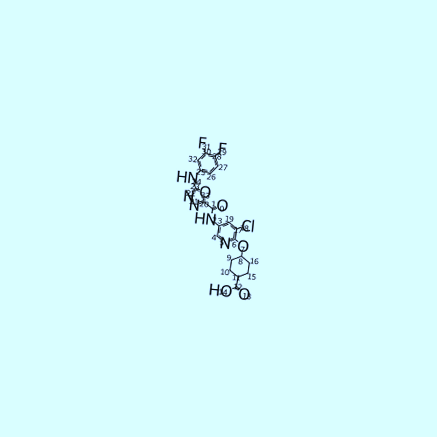 O=C(Nc1cnc(OC2CCC(C(=O)O)CC2)c(Cl)c1)c1nnc(Nc2ccc(F)c(F)c2)o1